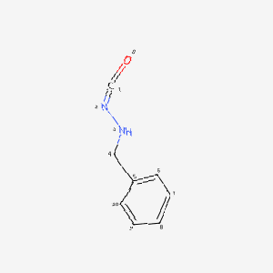 O=C=NNCc1ccccc1